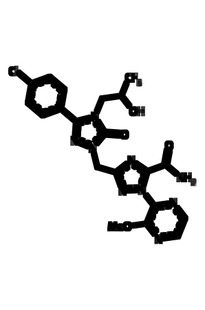 COc1nccnc1-n1nc(Cn2nc(-c3ccc(Cl)cc3)n(CC(O)C(F)(F)F)c2=O)nc1C(N)=O